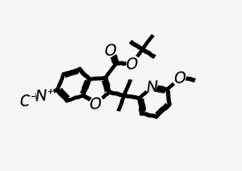 [C-]#[N+]c1ccc2c(C(=O)OC(C)(C)C)c(C(C)(C)c3cccc(OC)n3)oc2c1